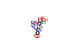 CCC1(O)C(=O)OCc2c1ccn(Cc1c(Br)nc3cc4c(cc3c1CN1CCN(C)CC1)OCCO4)c2=O